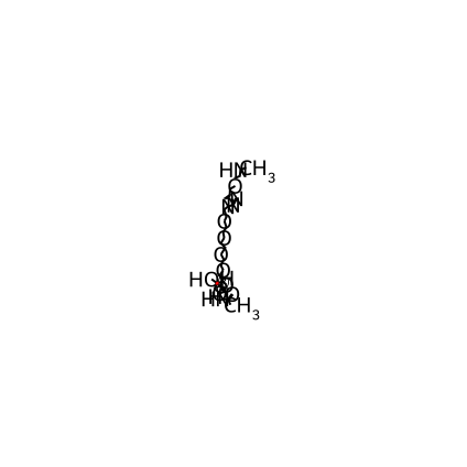 CNCCOCc1cn(CCOCCOCCOCCOC[C@H]2OC3OCC2(O)C[C@H]3NC(C)=O)nn1